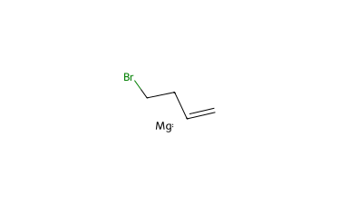 C=CCCBr.[Mg]